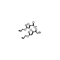 C=CCOc1cc(C(=O)CBr)on1.C=CCOc1cc(C(=O)OC)on1